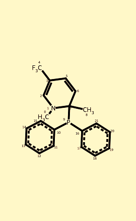 CN1C=C(C(F)(F)F)C=CC1(C)P(c1ccccc1)c1ccccc1